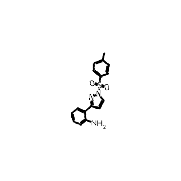 Cc1ccc(S(=O)(=O)n2ccc(-c3ccccc3N)n2)cc1